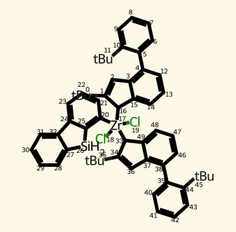 CC(C)(C)C1=Cc2c(-c3ccccc3C(C)(C)C)cccc2[CH]1[Zr]([Cl])([Cl])([c]1cccc2c1[SiH2]c1ccccc1-2)[CH]1C(C(C)(C)C)=Cc2c(-c3ccccc3C(C)(C)C)cccc21